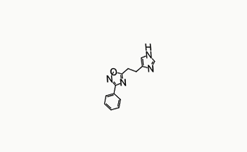 c1ccc(-c2noc(CCc3c[nH]cn3)n2)cc1